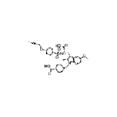 CC#CCOc1ccc(S(=O)(=O)N[C@@H](Cc2c(C)n(Cc3ccc(C(=O)O)cc3)c3ccc(OC)cc23)C(=O)O)cc1